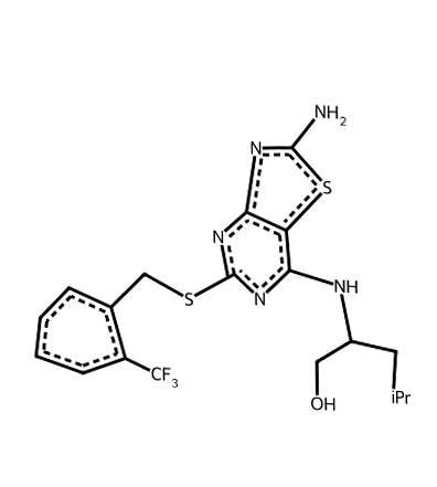 CC(C)CC(CO)Nc1nc(SCc2ccccc2C(F)(F)F)nc2nc(N)sc12